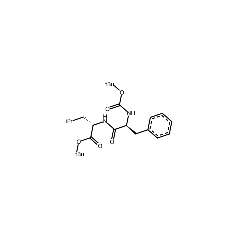 CC(C)C[C@H](NC(=O)[C@H](Cc1ccccc1)NC(=O)OC(C)(C)C)C(=O)OC(C)(C)C